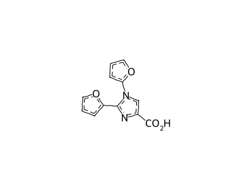 O=C(O)c1cn(-c2ccco2)c(-c2ccco2)n1